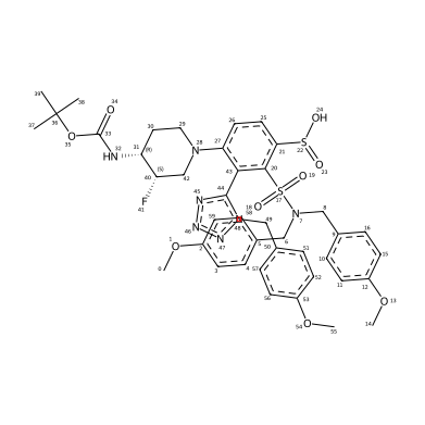 COc1ccc(CN(Cc2ccc(OC)cc2)S(=O)(=O)c2c(S(=O)O)ccc(N3CC[C@@H](NC(=O)OC(C)(C)C)[C@@H](F)C3)c2-c2nnnn2Cc2ccc(OC)cc2)cc1